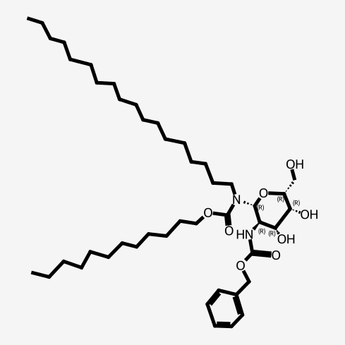 CCCCCCCCCCCCCCCCCCN(C(=O)OCCCCCCCCCCCC)[C@@H]1O[C@H](CO)[C@H](O)[C@H](O)[C@H]1NC(=O)OCc1ccccc1